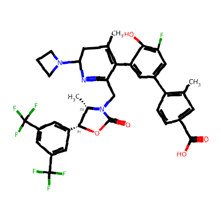 CC1=C(c2cc(-c3ccc(C(=O)O)cc3C)cc(F)c2O)C(CN2C(=O)O[C@H](c3cc(C(F)(F)F)cc(C(F)(F)F)c3)[C@@H]2C)=NC(N2CCC2)C1